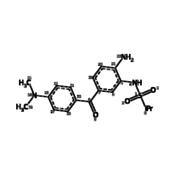 CC(C)S(=O)(=O)Nc1cc(C(=O)c2ccc(N(C)C)cc2)ccc1N